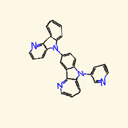 c1cncc(-n2c3ccc(-n4c5ccccc5c5ncccc54)cc3c3ncccc32)c1